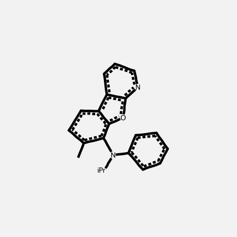 Cc1ccc2c(oc3ncccc32)c1N(c1ccccc1)C(C)C